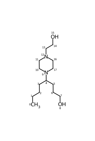 CCCC[C](CCCO)N1CCN(CCO)CC1